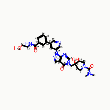 CN(C)C(=O)N1CCC(O)(Cn2cnc3c(cnn3-c3cncc(-c4cccc(C(=O)NCCO)c4)c3)c2=O)CC1